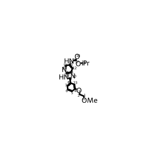 COCCOc1cccc(-c2nc3cc(NC(=O)OC(C)C)cnc3[nH]2)c1